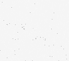 COc1ccccc1-c1nc(-c2ccccc2)c2ccccc2n1